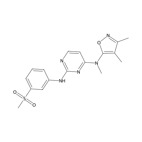 Cc1noc(N(C)c2ccnc(Nc3cccc(S(C)(=O)=O)c3)n2)c1C